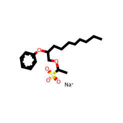 CCCCCCCCC(COC(C)S(=O)(=O)[O-])Oc1ccccc1.[Na+]